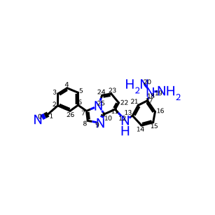 N#Cc1cccc(-c2cnc3c(Nc4cccc(N(N)N)c4)cccn23)c1